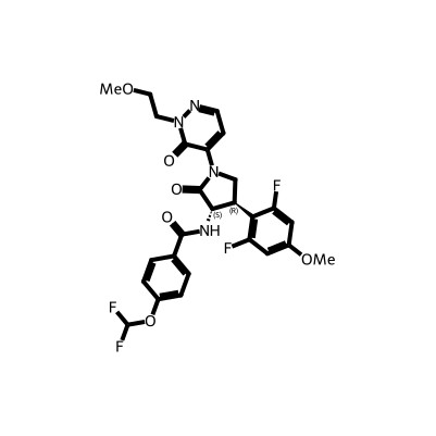 COCCn1nccc(N2C[C@@H](c3c(F)cc(OC)cc3F)[C@H](NC(=O)c3ccc(OC(F)F)cc3)C2=O)c1=O